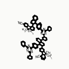 CC1(C)c2cc(-c3ccc4c(-c5cccc(-c6nc(-c7ccccc7)nc(-c7ccc(-c8c(-c9cccc%10c9-c9ccc(C#N)cc9C%10(C)C)ccc9ccccc89)cc7)n6)c5)cccc4c3-c3ccc(-c4nc(-c5ccccc5)nc(-c5ccccc5)n4)cc3)ccc2-c2c(C#N)cccc21